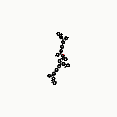 Cc1ccc(N(c2ccc(-c3ccc(C4=CCC(N(c5ccc(C)cc5)c5ccc6c(c5)C(C)(C)C5C=CC=CC65)C=C4)cc3)cc2)c2ccc3c(c2)C(C)(Cc2cccc(N(c4ccc(-c5ccc(-c6ccc(N(c7ccccc7)c7ccc8c(c7)SC7C=CC=CC87)cc6)cc5)cc4)c4ccc5c6c(sc5c4)C=CCC6)c2)C2C=CC=CC32)cc1